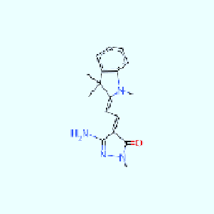 CN1N=C(N)/C(=C\C=C2/N(C)c3ccccc3C2(C)C)C1=O